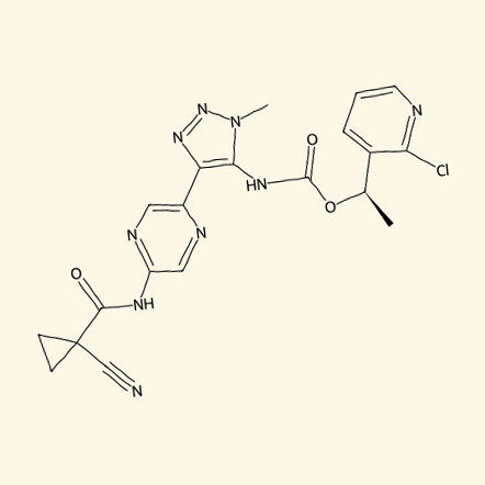 C[C@@H](OC(=O)Nc1c(-c2cnc(NC(=O)C3(C#N)CC3)cn2)nnn1C)c1cccnc1Cl